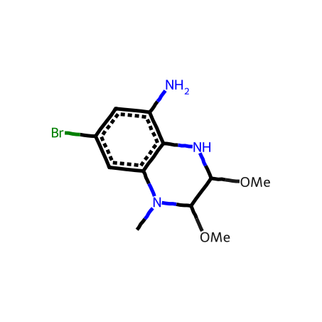 COC1Nc2c(N)cc(Br)cc2N(C)C1OC